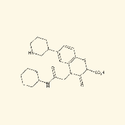 O=C(CN1C(=O)C(C(=O)O)Sc2ccc(C3CCCNC3)cc21)NC1CCCCC1